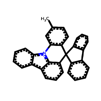 Cc1ccc2c(c1)-n1c3ccccc3c3cccc(c31)C21c2ccccc2-c2ccccc21